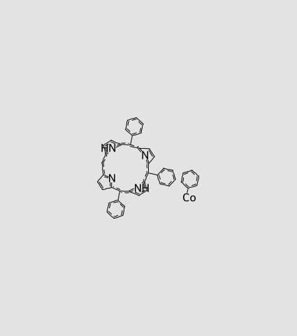 C1=Cc2nc1cc1ccc([nH]1)c(-c1ccccc1)c1nc(c(-c3ccccc3)c3ccc([nH]3)c2-c2ccccc2)C=C1.[Co][c]1ccccc1